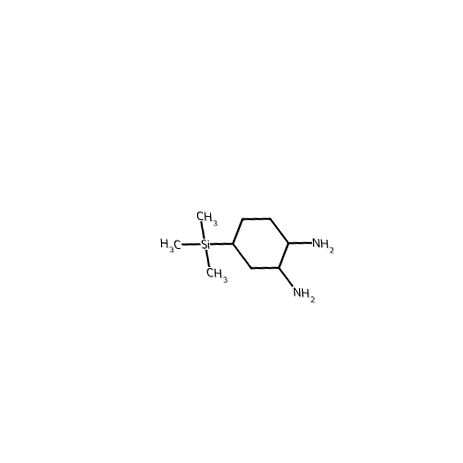 C[Si](C)(C)C1CCC(N)C(N)C1